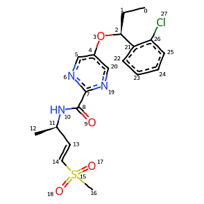 CC[C@H](Oc1cnc(C(=O)N[C@H](C)/C=C/S(C)(=O)=O)nc1)c1ccccc1Cl